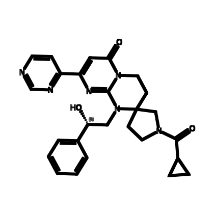 O=C(C1CC1)N1CCC2(CCn3c(nc(-c4ccncn4)cc3=O)N2C[C@@H](O)c2ccccc2)C1